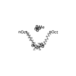 CCCCCCCCC=CCCCCCCCC(=O)OC(C)C[N+](C)(C)CC(C)OC(=O)CCCCCCCC=CCCCCCCCC.COS(=O)(=O)[O-]